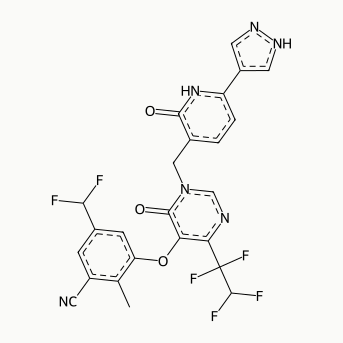 Cc1c(C#N)cc(C(F)F)cc1Oc1c(C(F)(F)C(F)F)ncn(Cc2ccc(-c3cn[nH]c3)[nH]c2=O)c1=O